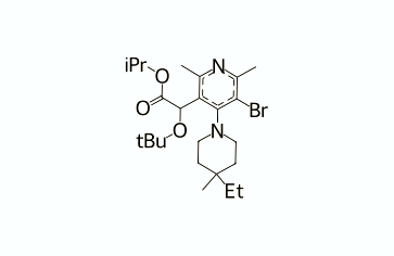 CCC1(C)CCN(c2c(Br)c(C)nc(C)c2C(OC(C)(C)C)C(=O)OC(C)C)CC1